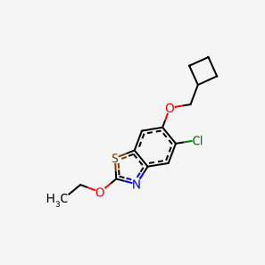 CCOc1nc2cc(Cl)c(OCC3CCC3)cc2s1